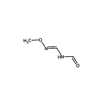 CON=CN[C]=O